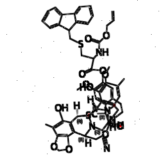 C=CCOC(=O)NC(CSCC1c2ccccc2-c2ccccc21)C(=O)Oc1cc2c(cc1OC)[C@@]1(CS[C@@H]3c4c(O)c(C)c5c(c4[C@H](COC1=O)N1C3[C@@H]3c4c(cc(C)c(OC)c4O)C[C@@H]([C@@H]1C#N)N3C)OCO5)NCC2